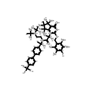 [2H]c1c([2H])c(CSc2nc(=O)c3c(n2C([2H])([2H])C(=O)N(CCN(C([2H])([2H])C)C([2H])([2H])C)C([2H])(C)c2ccc(-c4ccc(C(F)(F)F)cc4)cc2)C([2H])([2H])C([2H])(C)C3([2H])[2H])c([2H])c([2H])c1F